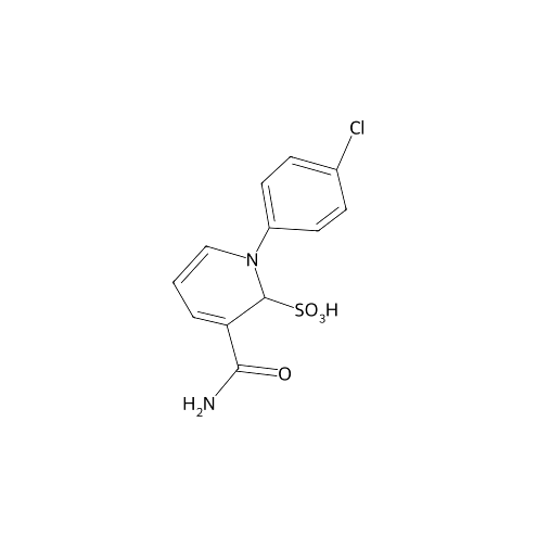 NC(=O)C1=CC=CN(c2ccc(Cl)cc2)C1S(=O)(=O)O